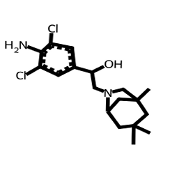 CC1(C)CC2CC(C)(CN2CC(O)c2cc(Cl)c(N)c(Cl)c2)C1